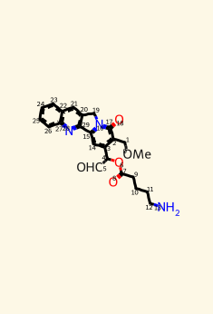 COCc1c(C(C=O)OC(=O)CCCCN)cc2n(c1=O)Cc1cc3ccccc3nc1-2